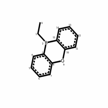 CCB1c2ccccc2Oc2ccccc21